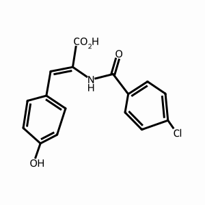 O=C(O)C(=Cc1ccc(O)cc1)NC(=O)c1ccc(Cl)cc1